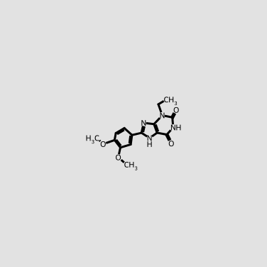 CCn1c(=O)[nH]c(=O)c2[nH]c(-c3ccc(OC)c(OC)c3)nc21